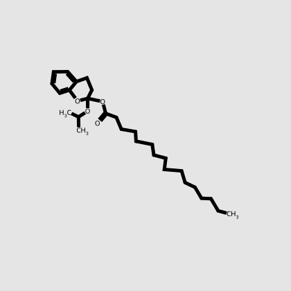 CCCCCCCCCCCCCCCC(=O)OC1(OC(C)C)CCc2ccccc2O1